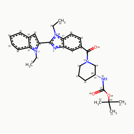 CCn1c(-c2nc3cc(C(=O)N4CCC[C@@H](NC(=O)OC(C)(C)C)C4)ccc3n2CC)cc2ccccc21